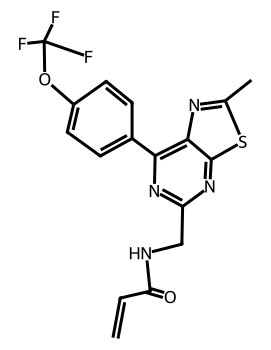 C=CC(=O)NCc1nc(-c2ccc(OC(F)(F)F)cc2)c2nc(C)sc2n1